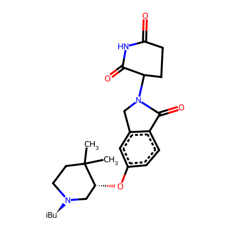 CC[C@H](C)N1CCC(C)(C)[C@H](Oc2ccc3c(c2)CN(C2CCC(=O)NC2=O)C3=O)C1